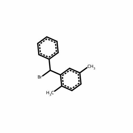 Cc1ccc(C)c(C(Br)c2ccccc2)c1